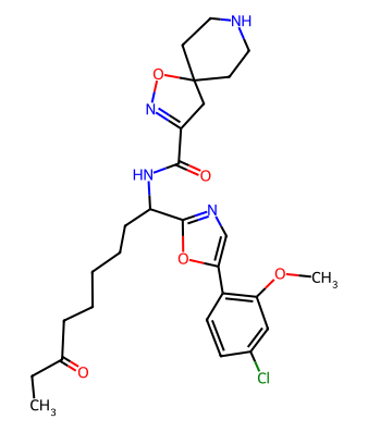 CCC(=O)CCCCCC(NC(=O)C1=NOC2(CCNCC2)C1)c1ncc(-c2ccc(Cl)cc2OC)o1